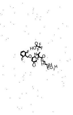 Cc1nc2c(OCc3c(F)cccc3F)cc(Cl)cn2c1C(=O)NCCNC(=O)O.O=C(O)C(F)(F)F